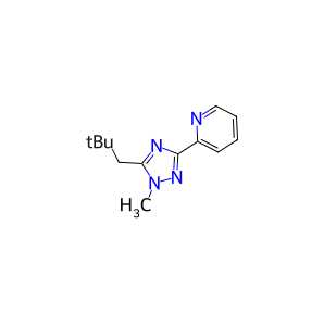 Cn1nc(-c2ccccn2)nc1CC(C)(C)C